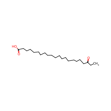 CCC(=O)CCCCCCCCCCCCCCCCCCC(=O)O